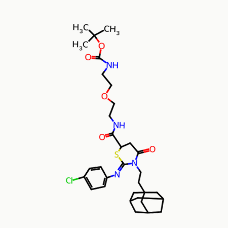 CC(C)(C)OC(=O)NCCOCCNC(=O)C1CC(=O)N(CCC23CC4CC(CC(C4)C2)C3)/C(=N/c2ccc(Cl)cc2)S1